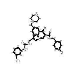 O=C(NCc1cn2cc(C(=O)NCc3ccc(Cl)cc3)c(=O)c3cc(CN4CCOCC4)cc1c32)Nc1cccc(C(F)(F)F)c1